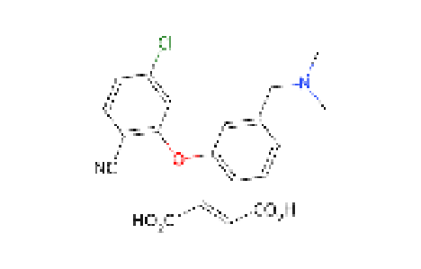 CN(C)Cc1cccc(Oc2cc(Cl)ccc2C#N)c1.O=C(O)/C=C/C(=O)O